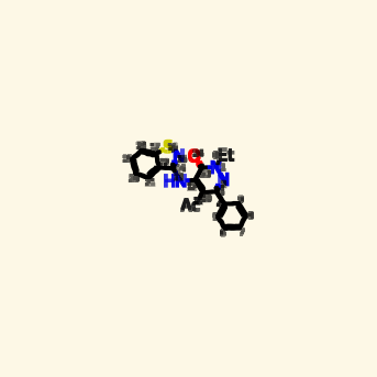 CCn1nc(-c2ccccc2)c(C(C)=O)c(Nc2nsc3ccccc23)c1=O